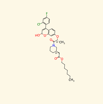 CCCCCCCOC(=O)C[C@H]1CCCN(C(=O)[C@@H](C)Oc2ccc3c(c2)OC(O)C=C3c2ccc(F)cc2Cl)C1